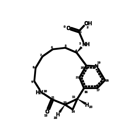 O=C(O)N[C@H]1CCCCCNC(=O)[C@@H]2C[C@@H]2c2ccnc1c2